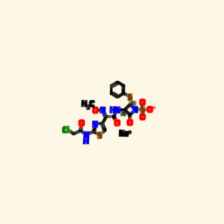 CON=C(C(=O)N[C@@H]1C(=O)N(S(=O)(=O)[O-])[C@H]1Sc1ccccc1)c1csc(NC(=O)CCl)n1.[Na+]